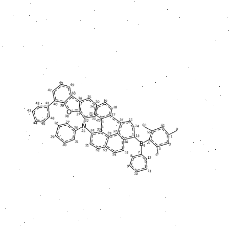 Cc1cc(C)c(B(c2ccccc2)c2ccc3c4ccccc4c4c(N(c5ccccc5)c5cccc6c5oc5c(-c7ccccc7)cccc56)ccc5ccc2c3c54)c(C)c1